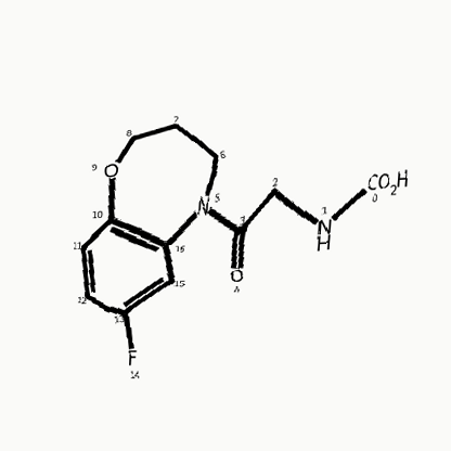 O=C(O)NCC(=O)N1CCCOc2ccc(F)cc21